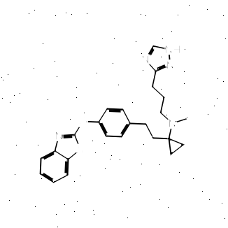 CN(CCCc1nc[nH]n1)C1(CCc2ccc(Oc3nc4ccccc4s3)cc2)CC1